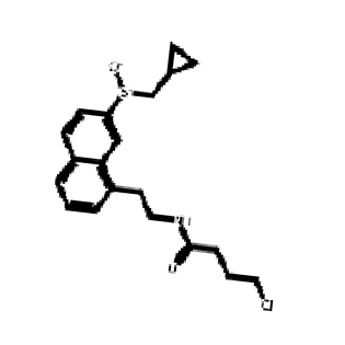 O=C(CCCCl)NCCc1cccc2ccc([S+]([O-])CC3CC3)cc12